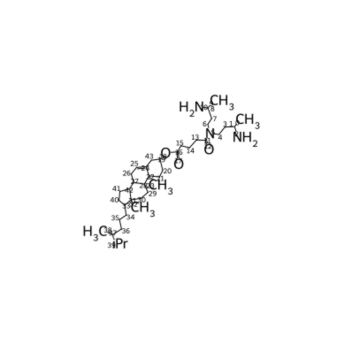 CC(N)CCN(CCC(C)N)C(=O)CCCC(=O)OC1CCC2(C)C(=CCC3C2CCC2(C)C(CCCC(C)C(C)C)CCC32)C1